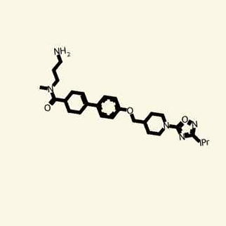 CC(C)c1noc(N2CCC(COc3ccc(C4=CCC(C(=O)N(C)CCCN)CC4)cc3)CC2)n1